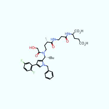 C[C@@H](CCN(C(=O)CO)[C@@H](c1cc(-c2cc(F)ccc2F)cn1Cc1ccccc1)C(C)(C)C)C(=O)NCCC(=O)N[C@H](CCC(=O)O)C(=O)O